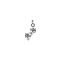 CC(C)(C)c1nnc2n1CC[C@@H](c1nc(-c3ccc(F)cc3)no1)C2